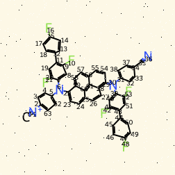 [C-]#[N+]c1ccc(N(c2cc(F)c(-c3ccc(F)cc3)cc2F)c2ccc3ccc4c(N(c5ccc(C#N)cc5)c5cc(F)c(-c6ccc(F)cc6)cc5F)ccc5ccc2c3c54)cc1